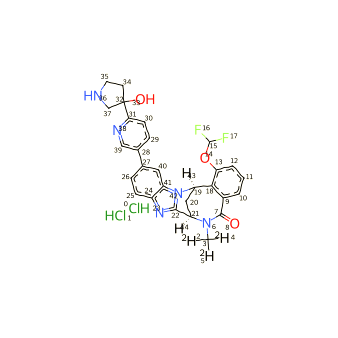 Cl.Cl.[2H]C([2H])([2H])N1C(=O)c2cccc(OC(F)F)c2[C@H]2C[C@@H]1c1nc3ccc(-c4ccc(C5(O)CCNC5)nc4)cc3n12